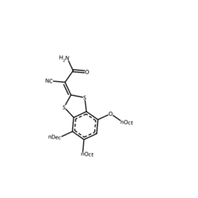 CCCCCCCCCCc1c(CCCCCCCC)cc(OCCCCCCCC)c2c1S/C(=C(\C#N)C(N)=O)S2